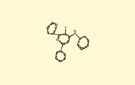 Fc1c(Nc2ccccc2)cc(-c2ccccc2)nc1-c1cccs1